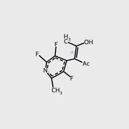 CC(=O)/C(=C(/C)O)c1c(F)c(C)nc(F)c1F